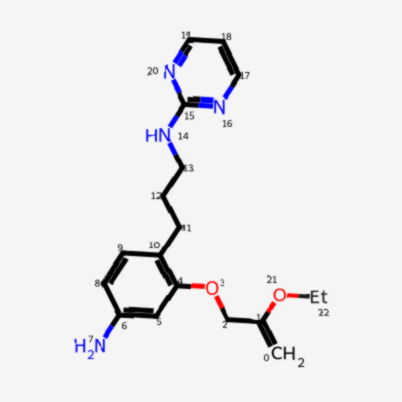 C=C(COc1cc(N)ccc1CCCNc1ncccn1)OCC